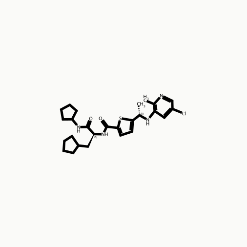 Cc1ncc(Cl)cc1N[C@@H](C)c1ccc(C(=O)N[C@@H](CC2CCCC2)C(=O)NC2CCCC2)s1